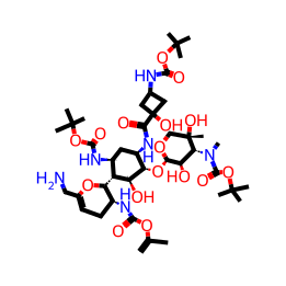 C=C(C)OC(=O)N[C@@H]1CC=C(CN)OC1[C@H]1[C@H](O)[C@@H](O[C@H]2OC[C@](C)(O)[C@H](N(C)C(=O)OC(C)(C)C)[C@H]2O)[C@H](NC(=O)C2(O)CC(NC(=O)OC(C)(C)C)C2)C[C@@H]1NC(=O)OC(C)(C)C